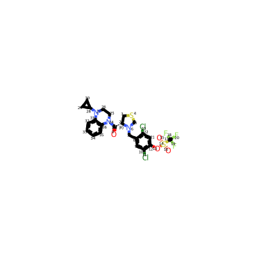 O=C([C@@H]1CSCN1Cc1cc(Cl)c(OS(=O)(=O)C(F)(F)F)cc1Cl)N1CCN(C2CC2)c2ccccc21